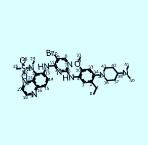 CCc1cc(Nc2ncc(Br)c(Nc3ccc4nccnc4c3N(C)S(C)(=O)=O)n2)c(OC)cc1N1CCC(N(C)C)CC1